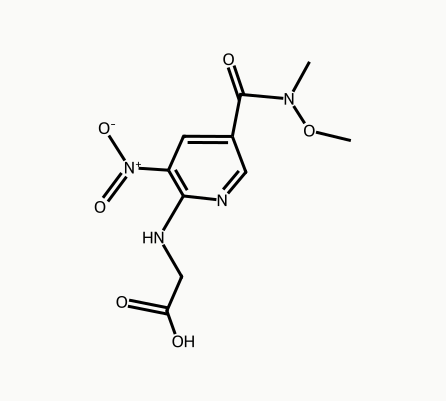 CON(C)C(=O)c1cnc(NCC(=O)O)c([N+](=O)[O-])c1